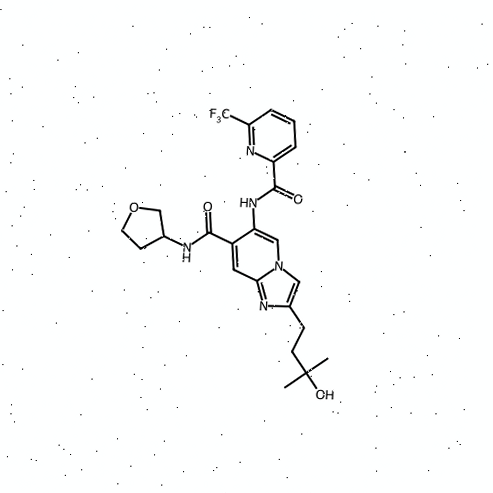 CC(C)(O)CCc1cn2cc(NC(=O)c3cccc(C(F)(F)F)n3)c(C(=O)NC3CCOC3)cc2n1